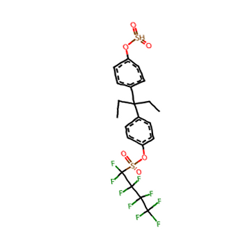 CCC(CC)(c1ccc(O[SH](=O)=O)cc1)c1ccc(OS(=O)(=O)C(F)(F)C(F)(F)C(F)(F)C(F)(F)F)cc1